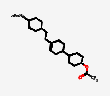 CCCCCC1CCC(CCC2=CCC(C3CCC(OC(=O)C(F)(F)F)CC3)CC2)CC1